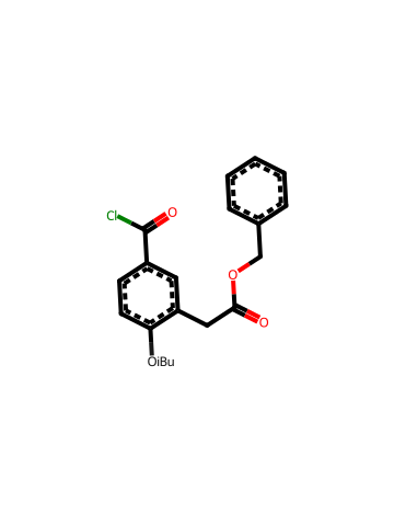 CC(C)COc1ccc(C(=O)Cl)cc1CC(=O)OCc1ccccc1